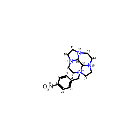 O=[N+]([O-])c1ccc(C[N+]23CCN4CCN5CCN(CC2)C3C54)cc1